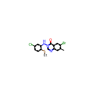 CCSc1ccc(Cl)cc1Nn1cnc2cc(C)c(Br)cc2c1=O